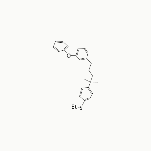 CCSc1ccc(C(C)(C)CCCc2cccc(Oc3ccccc3)c2)cc1